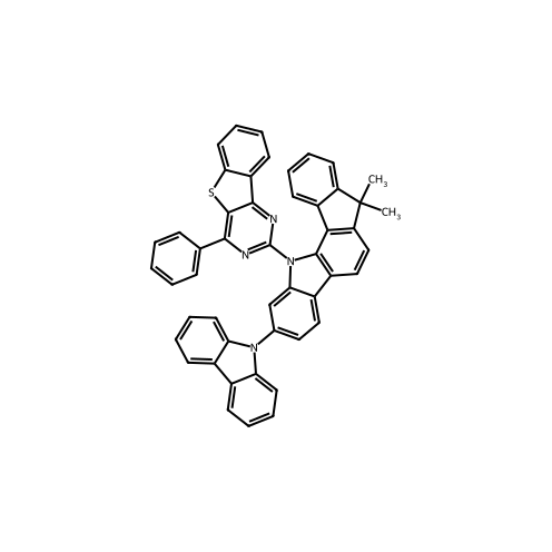 CC1(C)c2ccccc2-c2c1ccc1c3ccc(-n4c5ccccc5c5ccccc54)cc3n(-c3nc(-c4ccccc4)c4sc5ccccc5c4n3)c21